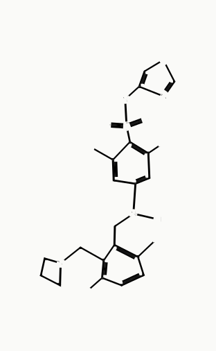 CN(Cc1c(F)ccc(F)c1CN1CCC1)c1cc(F)c(S(=O)(=O)Nc2cscn2)c(F)c1